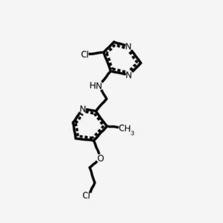 Cc1c(OCCCl)ccnc1CNc1ncncc1Cl